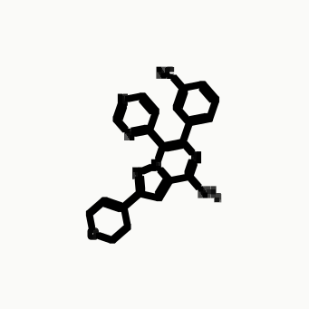 N#Cc1cccc(-c2nc(N)c3cc(C4=CCOCC4)nn3c2-c2ccncn2)c1